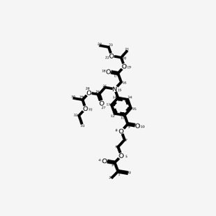 C=C(C)C(=O)OCCOC(=O)c1ccc(N(CC(=O)OC(C)OCC)CC(=O)OC(C)OCC)cc1